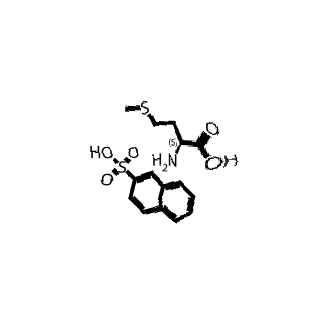 CSCC[C@H](N)C(=O)O.O=S(=O)(O)c1ccc2ccccc2c1